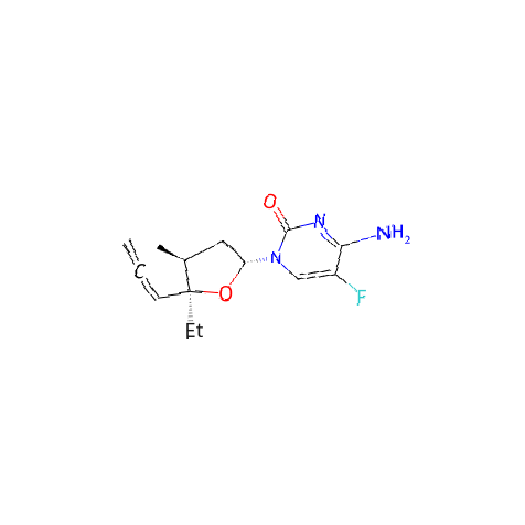 C=C=C[C@]1(CC)O[C@@H](n2cc(F)c(N)nc2=O)C[C@@H]1C